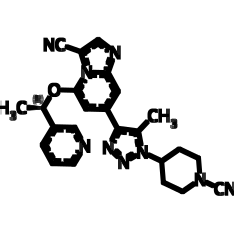 Cc1c(-c2cc(O[C@H](C)c3cccnc3)n3c(C#N)cnc3c2)nnn1C1CCN(C#N)CC1